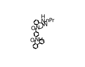 CCCc1nc2c([nH]1)-c1ccccc1N(C(=O)c1ccc(NC(=O)c3ccccc3-c3ccccc3)cc1)CC2